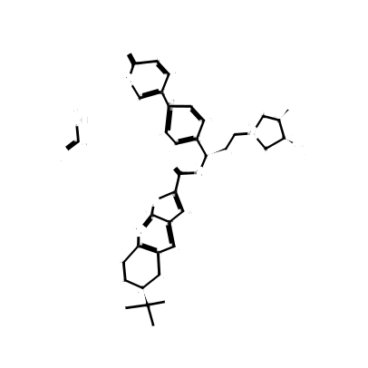 CC(C)(C)[C@H]1CCc2nc3sc(C(=O)N[C@H](CCN4C[C@@H](O)[C@@H](O)C4)c4ccc(-c5ccc(=O)[nH]c5)cc4)cc3cc2C1.O=CO